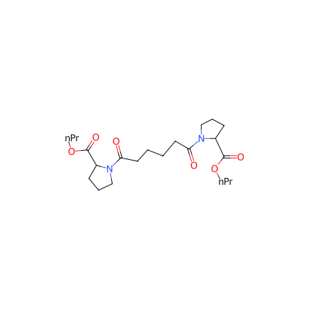 CCCOC(=O)C1CCCN1C(=O)CCCCC(=O)N1CCCC1C(=O)OCCC